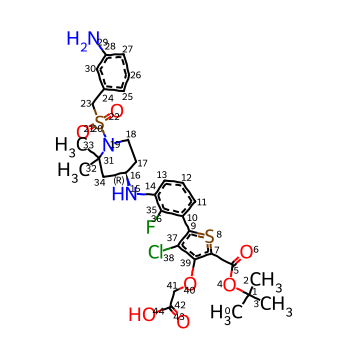 CC(C)(C)OC(=O)c1sc(-c2cccc(N[C@@H]3CCN(S(=O)(=O)Cc4cccc(N)c4)C(C)(C)C3)c2F)c(Cl)c1OCC(=O)O